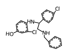 Oc1ccc(NC(CNCc2ccccc2)c2ccc(Cl)cc2)c(Cl)c1